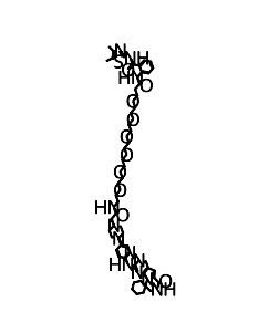 Cc1nc(NC(=O)c2ccccc2NC(=O)CCOCCOCCOCCOCCOCCOCCNC(=O)CN2CCN(c3ccc(Nc4ncc5cc6n(c5n4)C4(CCCCC4)CNC6=O)nc3)CC2)sc1C